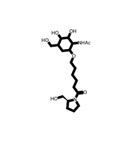 CC(=O)NC1C(OCCCCCC(=O)N2CCC[C@H]2CO)CC(CO)C(O)C1O